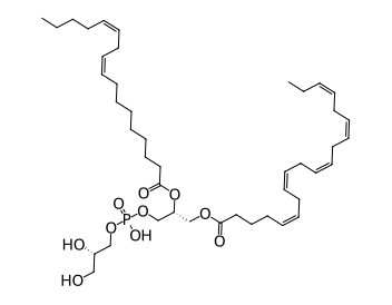 CC/C=C\C/C=C\C/C=C\C/C=C\C/C=C\CCCC(=O)OC[C@H](COP(=O)(O)OC[C@@H](O)CO)OC(=O)CCCCCCC/C=C\C/C=C\CCCC